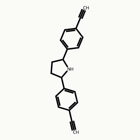 C#Cc1ccc(C2CCC(c3ccc(C#C)cc3)N2)cc1